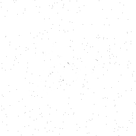 CC(=O)NC1=CC[C@H]2[C@@H]3[C@@H](NC(C)=O)C[C@@H]4C[C@@H](O)C=C[C@]4(C)[C@H]3CC[C@]12C